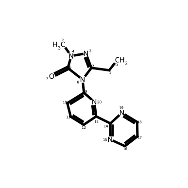 CCc1nn(C)c(=O)n1-c1cccc(-c2ncccn2)n1